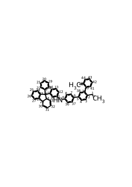 CCc1ccc(-c2ccc(Nc3cccc(C4(c5ccccc5)c5ccccc5C5C=CC=CC54)c3)cc2)cc1-c1ccccc1C